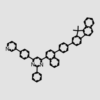 CC1(C)c2cc(-c3ccc(-c4ccc(-c5cc(-c6ccc(-c7cccnc7)cc6)nc(-c6ccccc6)n5)c5ccccc45)cc3)ccc2-c2ccc3ccccc3c21